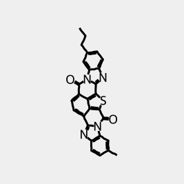 CCCc1ccc2nc3c4sc5c(=O)n6c7cc(C)ccc7nc6c6ccc(c(=O)n3c2c1)c4c56